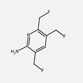 Nc1nc(CF)c(CF)cc1CF